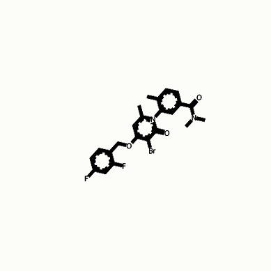 Cc1ccc(C(=O)N(C)C)cc1-n1c(C)cc(OCc2ccc(F)cc2F)c(Br)c1=O